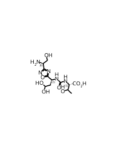 CC(O)[C@H](NC(=O)N[C@@H](CC(O)O)c1nc([C@@H](N)CO)no1)C(=O)O